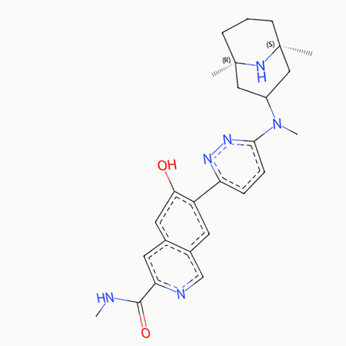 CNC(=O)c1cc2cc(O)c(-c3ccc(N(C)C4C[C@]5(C)CCC[C@](C)(C4)N5)nn3)cc2cn1